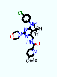 [2H]C([2H])([2H])c1c(CNC(=O)c2ccc(OC)cn2)nc(N2CCOCC2)nc1Nc1ccc(Cl)cc1